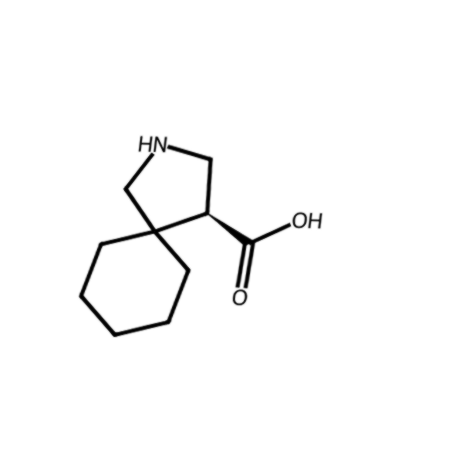 O=C(O)[C@@H]1CNCC12CCCCC2